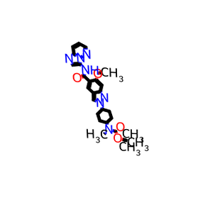 COc1cc2nn(C3CCC(N(C)C(=O)OC(C)(C)C)CC3)cc2cc1C(=O)Nc1cnc2cccnn12